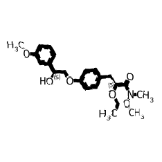 CCO[C@@H](Cc1ccc(OC[C@@H](O)c2cccc(OC)c2)cc1)C(=O)N(C)OC